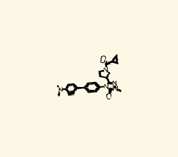 CN(C)c1ccc(-c2ccc(-n3c(C4CCN(C(=O)C5CC5)C4)nn(C)c3=O)cc2)cc1